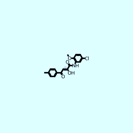 COc1ccc(Cl)cc1NC(=O)/C(O)=C/C(=O)c1ccc(C)cc1